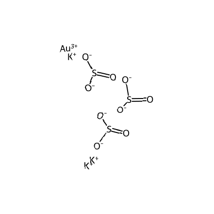 O=S([O-])[O-].O=S([O-])[O-].O=S([O-])[O-].[Au+3].[K+].[K+].[K+]